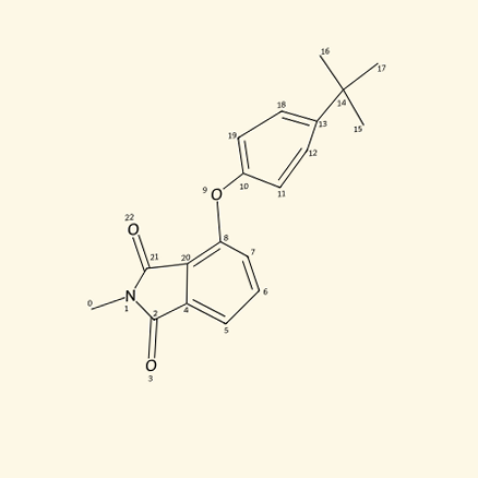 CN1C(=O)c2cccc(Oc3ccc(C(C)(C)C)cc3)c2C1=O